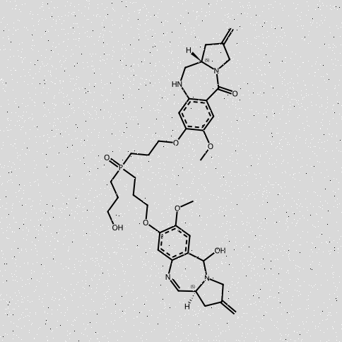 C=C1C[C@H]2CNc3cc(OCCCP(=O)(CCCO)CCCOc4cc5c(cc4OC)C(O)N4CC(=C)C[C@H]4C=N5)c(OC)cc3C(=O)N2C1